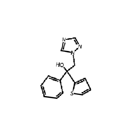 OC(Cn1cncn1)(c1ccccc1)c1cccs1